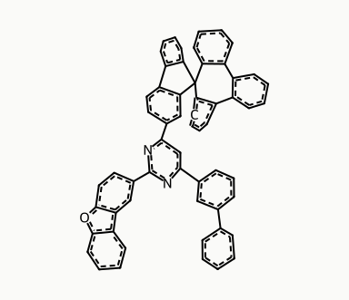 c1ccc(-c2cccc(-c3cc(-c4ccc5c(c4)C4(c6ccccc6-c6ccccc6-c6ccccc64)c4ccccc4-5)nc(-c4ccc5oc6ccccc6c5c4)n3)c2)cc1